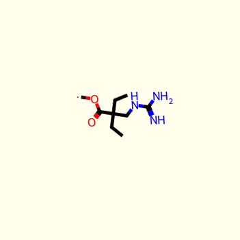 [CH2]OC(=O)C(CC)(CC)CNC(=N)N